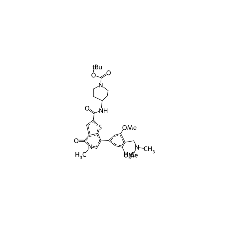 COc1cc(-c2cn(C)c(=O)c3cc(C(=O)NC4CCN(C(=O)OC(C)(C)C)CC4)sc23)cc(OC)c1CN(C)C